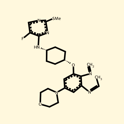 C=Nc1c(/N=C\C)cc(N2CCOCC2)cc1O[C@H]1CC[C@@H](Nc2nc(SC)ncc2F)CC1